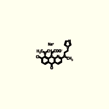 CN(C)c1c(Cl)ccc2c(=O)c3ccc(N(C)CCn4ccnc4)nc3n(CC(=O)[O-])c12.[Na+]